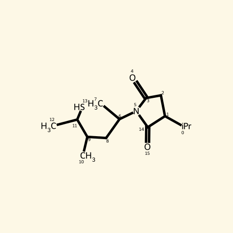 CC(C)C1CC(=O)N(C(C)CC(C)C(C)S)C1=O